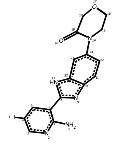 Nc1ncc(I)cc1-c1nc2ccc(N3CCOCC3=O)cc2[nH]1